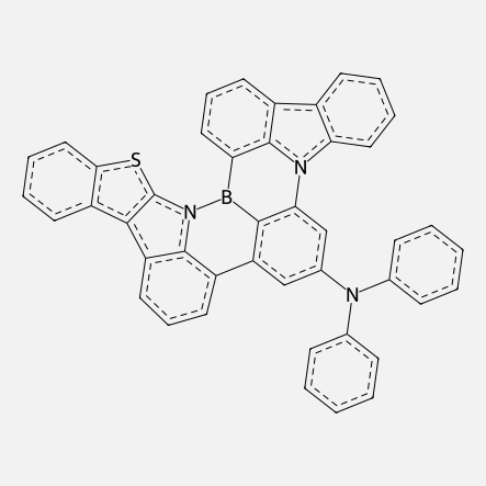 c1ccc(N(c2ccccc2)c2cc3c4c(c2)-n2c5ccccc5c5cccc(c52)B4n2c4sc5ccccc5c4c4cccc-3c42)cc1